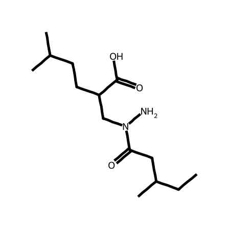 CCC(C)CC(=O)N(N)CC(CCC(C)C)C(=O)O